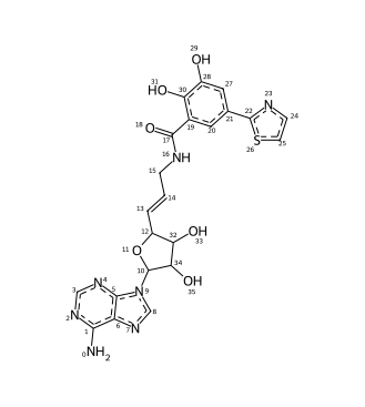 Nc1ncnc2c1ncn2C1OC(C=CCNC(=O)c2cc(-c3nccs3)cc(O)c2O)C(O)C1O